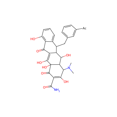 CC(=O)c1cccc(CC2c3cccc(O)c3C(=O)C3=C(O)C4(O)C(=O)C(C(N)=O)=C(O)C(N(C)C)C4C(O)C32)c1